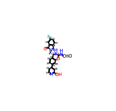 O=CNC(=O)N[C@@H](CN1Cc2ccc(F)cc2C1=O)c1ccc(-c2ccnc(O)c2)cc1